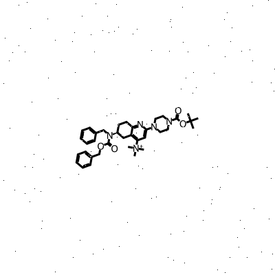 CC(C)(C)OC(=O)N1CCN(c2cc([N+](C)(C)C)c3c(n2)CC[C@H](N(Cc2ccccc2)C(=O)OCc2ccccc2)C3)CC1